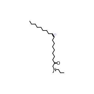 CCCCCCCC/C=C\CCCCCCCC(=O)CN(C)CCC